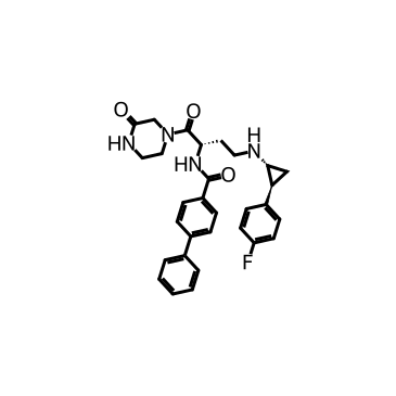 O=C1CN(C(=O)[C@H](CCN[C@@H]2C[C@H]2c2ccc(F)cc2)NC(=O)c2ccc(-c3ccccc3)cc2)CCN1